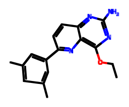 CCOc1nc(N)nc2ccc(-c3cc(C)cc(C)c3)nc12